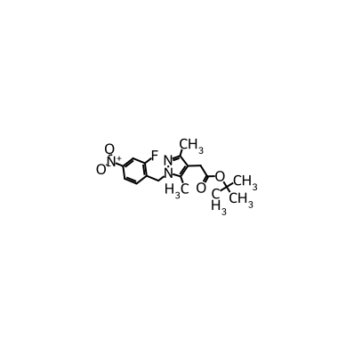 Cc1nn(Cc2ccc([N+](=O)[O-])cc2F)c(C)c1CC(=O)OC(C)(C)C